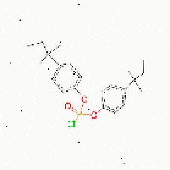 CCC(C)(C)c1ccc(OP(=O)(Cl)Oc2ccc(C(C)(C)CC)cc2)cc1